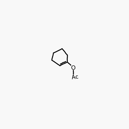 [CH2]C(=O)OC1=CCCCC1